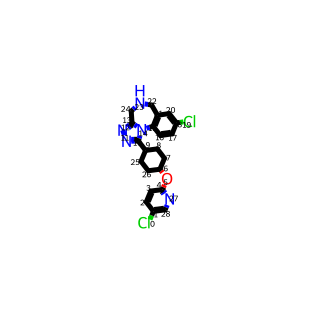 Clc1ccc(OC2CCC(c3nnc4n3-c3ccc(Cl)cc3CNC4)CC2)nc1